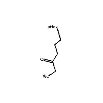 CCCCCCCCCC(=O)CC(C)(C)C